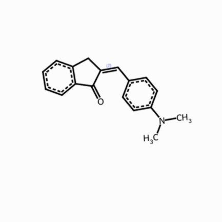 CN(C)c1ccc(/C=C2/Cc3ccccc3C2=O)cc1